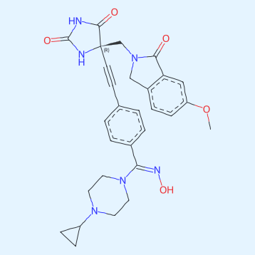 COc1ccc2c(c1)C(=O)N(C[C@@]1(C#Cc3ccc(C(=NO)N4CCN(C5CC5)CC4)cc3)NC(=O)NC1=O)C2